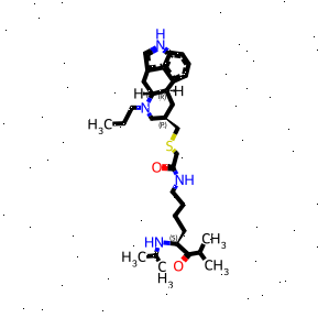 CCCN1C[C@H](CSCC(=O)NCCCC[C@H](NC(C)C)C(=O)C(C)C)C[C@@H]2c3cccc4[nH]cc(c34)C[C@H]21